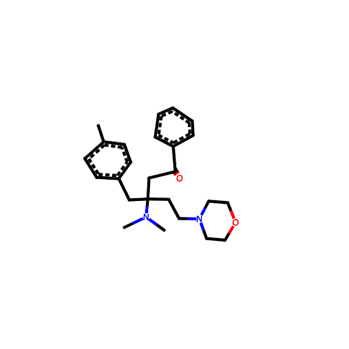 Cc1ccc(CC(CCN2CCOCC2)(CC(=O)c2ccccc2)N(C)C)cc1